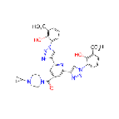 O=C(O)c1cccc(-n2cc(-c3cc(C(=O)N4CCN(C5CC5)CC4)cc(-c4cn(-c5cccc(C(=O)O)c5O)nn4)n3)nn2)c1O